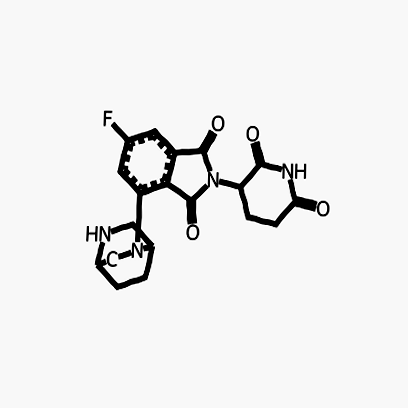 O=C1CCC(N2C(=O)c3cc(F)cc(N4CC5CCC4CN5)c3C2=O)C(=O)N1